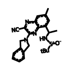 Cc1cc(C(C)N[S+]([O-])C(C)(C)C)c2nc(N3Cc4ccccc4C3)c(C#N)nc2c1